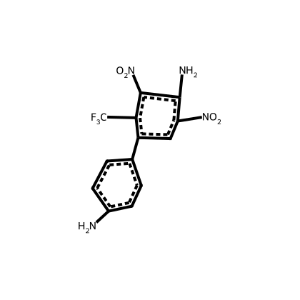 Nc1ccc(-c2cc([N+](=O)[O-])c(N)c([N+](=O)[O-])c2C(F)(F)F)cc1